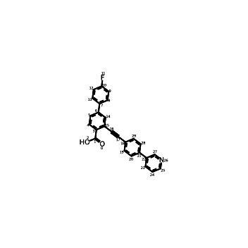 O=C(O)c1ccc(-c2ccc(F)cc2)cc1C#Cc1ccc(-c2cccnc2)cc1